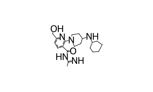 CC(=N)NC(=O)c1ccc(CO)nc1N1CCC(NC2CCCCC2)CC1